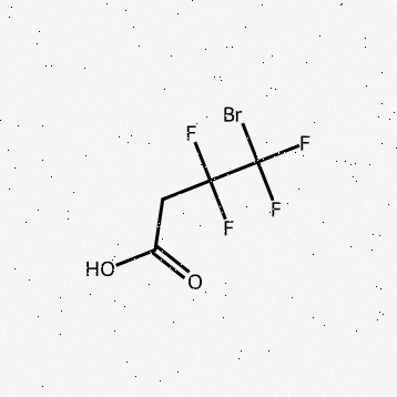 O=C(O)CC(F)(F)C(F)(F)Br